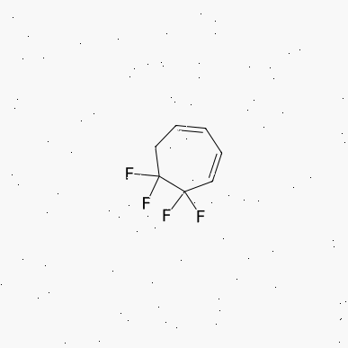 FC1(F)C=CC=CCC1(F)F